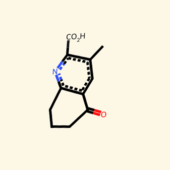 Cc1cc2c(nc1C(=O)O)CCCC2=O